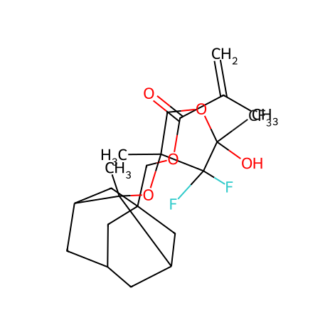 C=C(C)C(=O)OCC12CC3CC(C1)C(C)(OC1(C)COC(O)(C(F)(F)F)C1(F)F)C(C3)C2